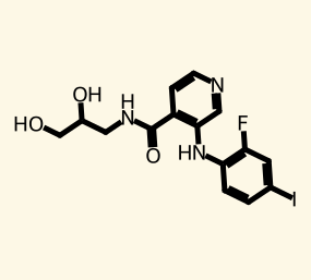 O=C(NCC(O)CO)c1ccncc1Nc1ccc(I)cc1F